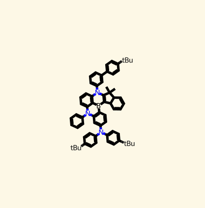 CC(C)(C)c1ccc(-c2cccc(N3C4=C(B5c6ccc(N(c7ccc(C(C)(C)C)cc7)c7ccc(C(C)(C)C)cc7)cc6N(c6ccccc6)c6cccc3c65)C3C=CC=CC3C4(C)C)c2)cc1